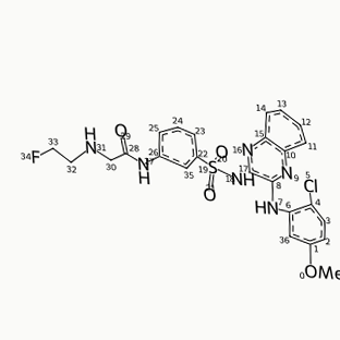 COc1ccc(Cl)c(Nc2nc3ccccc3nc2NS(=O)(=O)c2cccc(NC(=O)CNCCF)c2)c1